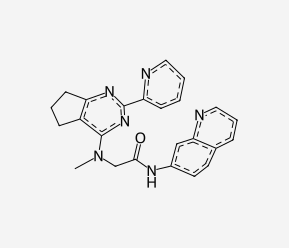 CN(CC(=O)Nc1ccc2cccnc2c1)c1nc(-c2ccccn2)nc2c1CCC2